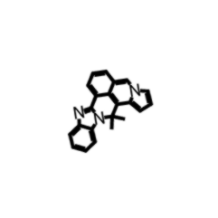 CC1(C)c2c3c(cccc3cn3cccc23)-c2nc3ccccc3n21